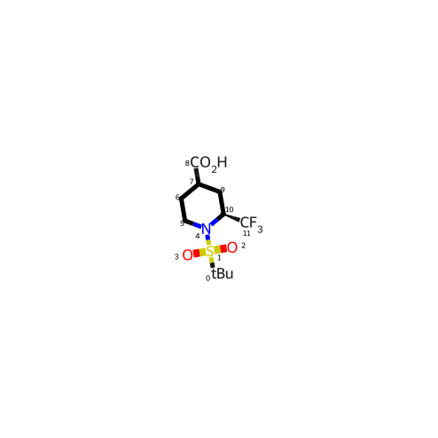 CC(C)(C)S(=O)(=O)N1CCC(C(=O)O)C[C@H]1C(F)(F)F